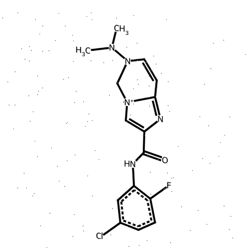 CN(C)N1C=CC2=NC(C(=O)Nc3cc(Cl)ccc3F)=C[N+]2C1